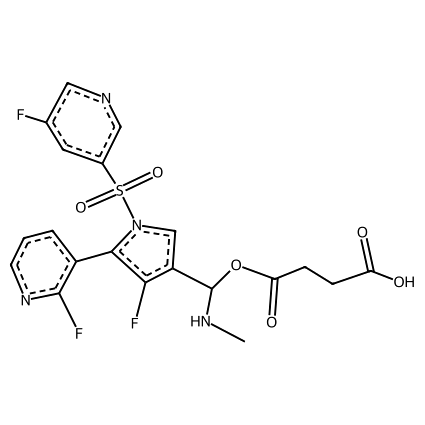 CNC(OC(=O)CCC(=O)O)c1cn(S(=O)(=O)c2cncc(F)c2)c(-c2cccnc2F)c1F